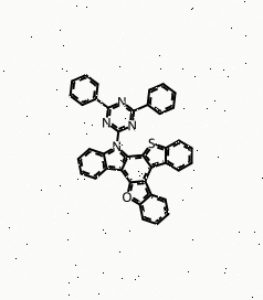 c1ccc(-c2nc(-c3ccccc3)nc(-n3c4ccccc4c4c5oc6ccccc6c5c5c6ccccc6sc5c43)n2)cc1